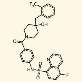 O=C(c1ccc(NS(=O)(=O)c2ccc(F)c3cccnc23)cc1)N1CCC(O)(Cc2ccccc2C(F)(F)F)CC1